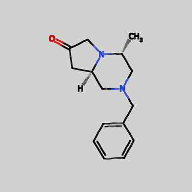 C[C@@H]1CN(Cc2ccccc2)C[C@H]2CC(=O)CN21